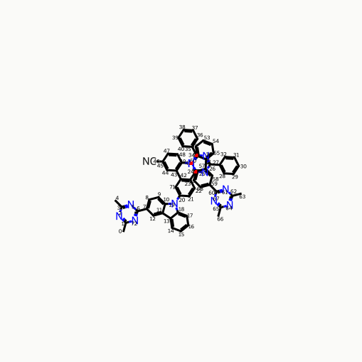 Cc1nc(C)nc(-c2ccc3c(c2)c2ccccc2n3-c2ccc(-c3nc(-c4ccccc4)nc(-c4ccccc4)n3)c(-c3cc(C#N)ccc3-n3c4ccccc4c4cc(-c5nc(C)nc(C)n5)ccc43)c2)n1